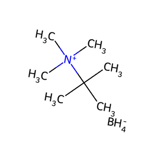 CC(C)(C)[N+](C)(C)C.[BH4-]